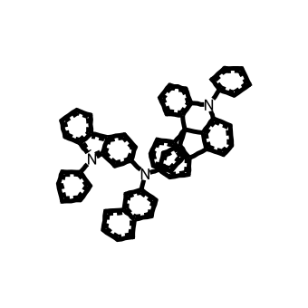 c1ccc(N2c3ccccc3C3(c4ccccc4)c4cc(N(c5ccc6ccccc6c5)c5ccc6c7ccccc7n(-c7ccccc7)c6c5)ccc4-c4cccc2c43)cc1